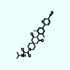 Cc1cc(-c2ccc(C#N)cn2)cc(C)c1C1C(=O)CC2(CCN(C(=O)C(=O)NC(C)C)CC2)CC1=O